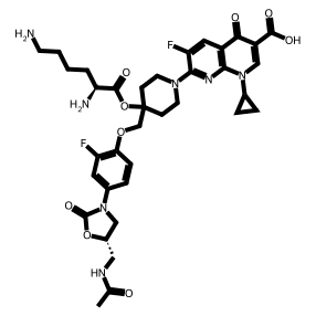 CC(=O)NC[C@H]1CN(c2ccc(OCC3(OC(=O)[C@@H](N)CCCCN)CCN(c4nc5c(cc4F)c(=O)c(C(=O)O)cn5C4CC4)CC3)c(F)c2)C(=O)O1